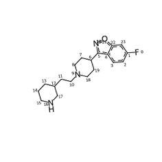 Fc1ccc2c(C3CCN(CCC4CCCNC4)CC3)noc2c1